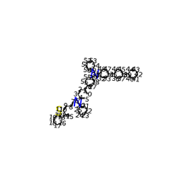 C=C(/C=C\C(=C)N(/C=C/C=c1/sc2c(c1=C)CCC=C2)c1ccccc1)C1=CC=C(N(c2ccc(-c3ccc(-c4ccccc4)cc3)cc2)C2C=CC=CC2)CC1